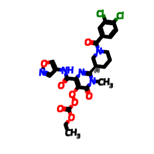 CCOC(=O)OOc1c(C(=O)Nc2cnoc2)nc([C@@H]2CCCN(C(=O)c3ccc(Cl)c(Cl)c3)C2)n(C)c1=O